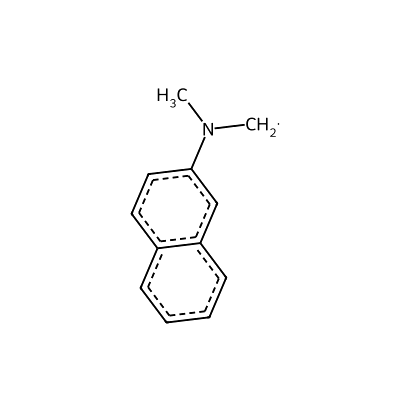 [CH2]N(C)c1ccc2ccccc2c1